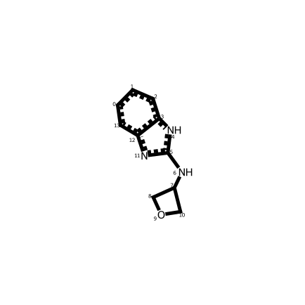 c1ccc2[nH]c(NC3COC3)nc2c1